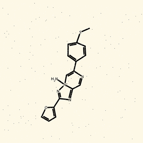 CSc1ccc(C2=C[N+]3(N)N=C(c4ccco4)N=C3C=N2)cc1